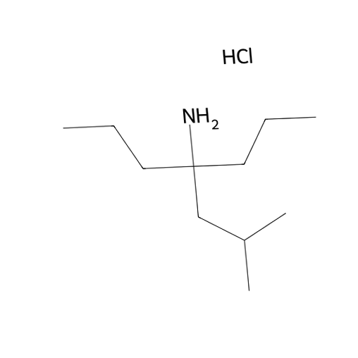 CCCC(N)(CCC)CC(C)C.Cl